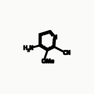 COc1c(N)ccnc1C#N